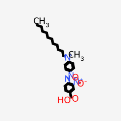 CCCCCCCCCCCCN(C)c1ccc(N=Nc2ccc(C(=O)O)cc2[N+](=O)[O-])cc1